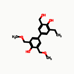 CCc1cc(-c2cc(COC)c(O)c(COC)c2)cc(CO)c1O